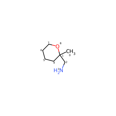 CC1(CN)CCCCO1